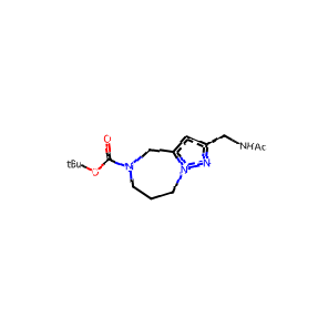 CC(=O)NCc1cc2n(n1)CCCN(C(=O)OC(C)(C)C)C2